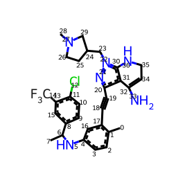 Cc1ccc(NC(C)c2ccc(Cl)c(C(F)(F)F)c2)cc1C#Cc1nn(CC2CCN(C)C2)c2c1C(N)=CCN2